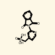 O=C1c2ccccc2C(=O)N1c1cc(CP(=O)(O)O)ccn1